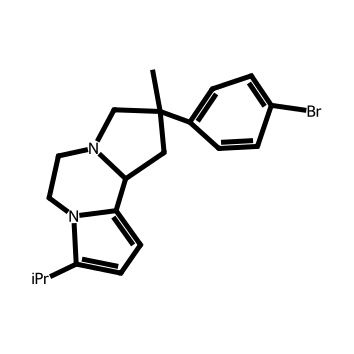 CC(C)c1ccc2n1CCN1CC(C)(c3ccc(Br)cc3)CC21